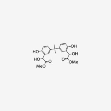 COC(=O)C(O)c1cc(C(C)(C)c2ccc(O)c(C(O)C(=O)OC)c2)ccc1O